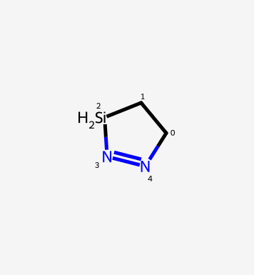 C1C[SiH2]N=N1